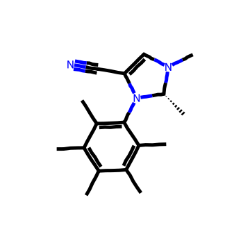 Cc1c(C)c(C)c(N2C(C#N)=CN(C)[C@@H]2C)c(C)c1C